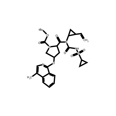 C=CC1CC1N(C(=O)NS(=O)(=O)C1CC1)C(=O)C1CC(Oc2ncc(C)c3ccccc23)CN1C(=O)OC(C)(C)C